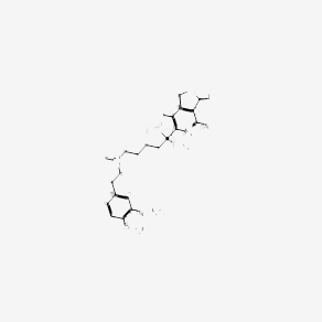 CCC1OCc2c(O)c(C(C#N)(CCCCN(C)CCc3ccc(OC)c(OC)c3)C(C)C)nc(Cl)c21